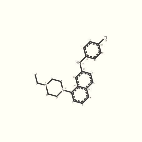 CCN1CCN(c2cccc3ccc(Nc4ccc(Cl)cc4)cc23)CC1